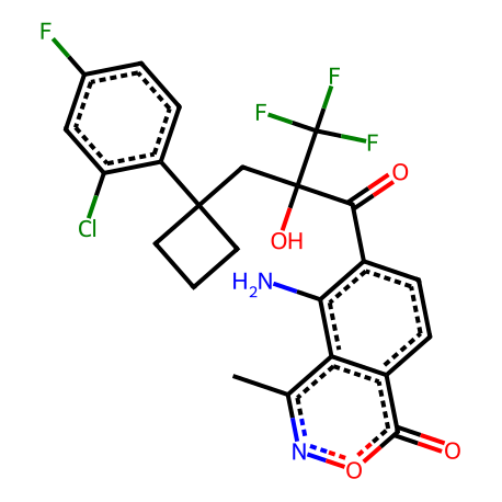 Cc1noc(=O)c2ccc(C(=O)C(O)(CC3(c4ccc(F)cc4Cl)CCC3)C(F)(F)F)c(N)c12